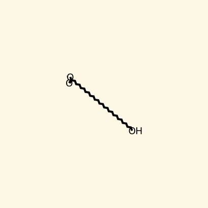 COC(=O)CCCCCCCCCCCCCCCCCCCCCCCCCO